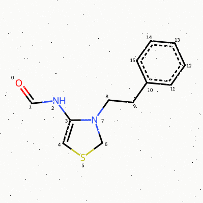 O=CNC1=CSCN1CCc1ccccc1